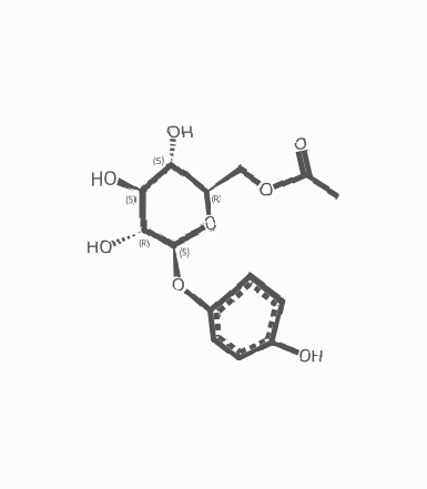 CC(=O)OC[C@H]1O[C@@H](Oc2ccc(O)cc2)[C@H](O)[C@@H](O)[C@@H]1O